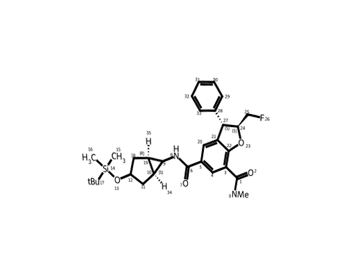 CNC(=O)c1cc(C(=O)NC2[C@H]3CC(O[Si](C)(C)C(C)(C)C)C[C@@H]23)cc2c1O[C@H](CF)[C@H]2c1ccccc1